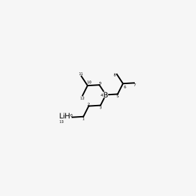 CCCCB(CC(C)C)CC(C)C.[LiH]